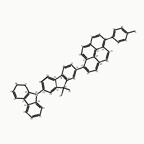 Cc1ccc(-c2ccc3ccc4c(-c5ccc6c(c5)C(C)(C)c5cc(-n7c8c(c9ccccc97)C=CCC8)ccc5-6)ccc5ccc2c3c54)cc1